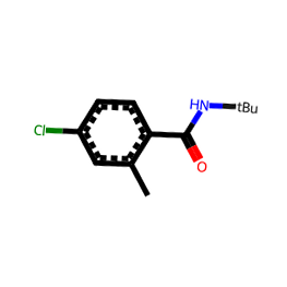 Cc1cc(Cl)ccc1C(=O)NC(C)(C)C